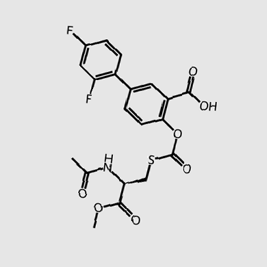 COC(=O)[C@H](CSC(=O)Oc1ccc(-c2ccc(F)cc2F)cc1C(=O)O)NC(C)=O